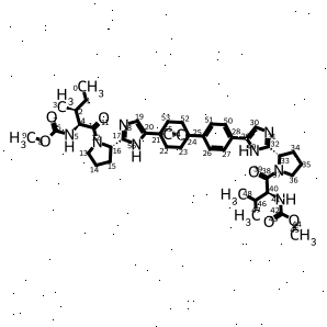 CC[C@H](C)[C@H](NC(=O)OC)C(=O)N1CCC[C@H]1c1ncc(C23CCC(c4ccc(-c5cnc([C@@H]6CCCN6C(=O)[C@@H](NC(=O)OC)C(C)C)[nH]5)cc4)(CC2)CC3)[nH]1